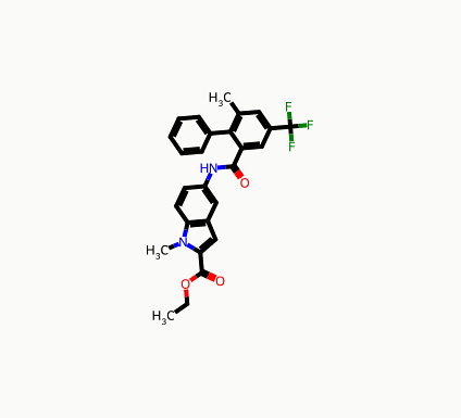 CCOC(=O)c1cc2cc(NC(=O)c3cc(C(F)(F)F)cc(C)c3-c3ccccc3)ccc2n1C